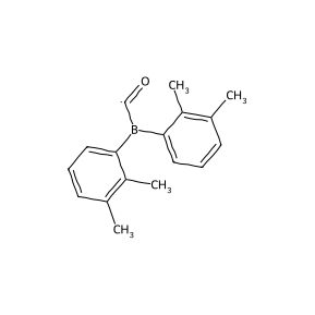 Cc1cccc(B([C]=O)c2cccc(C)c2C)c1C